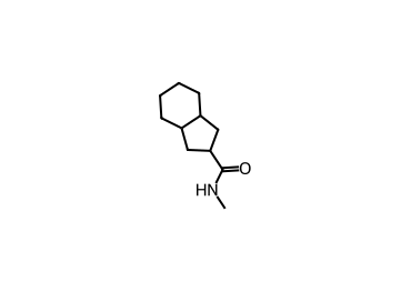 CNC(=O)C1CC2CCCCC2C1